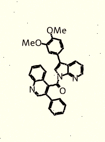 COc1ccc(-c2cn(C(=O)c3c(-c4ccccc4)cnc4ccccc34)c3ncccc23)cc1OC